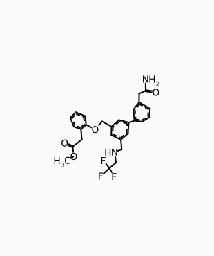 COC(=O)Cc1ccccc1OCc1cc(CNCC(F)(F)F)cc(-c2cccc(CC(N)=O)c2)c1